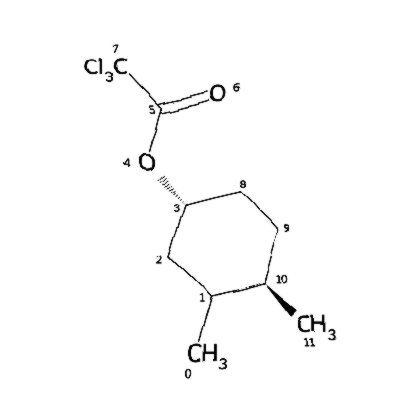 CC1C[C@H](OC(=O)C(Cl)(Cl)Cl)CC[C@H]1C